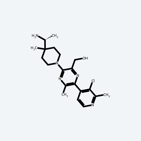 Cc1nc(N2CCC(C)([C@@H](C)N)CC2)c(CO)nc1-c1ccnc(C)c1Cl